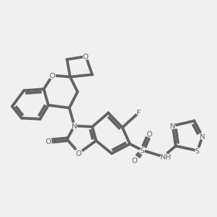 O=c1oc2cc(S(=O)(=O)Nc3ncns3)c(F)cc2n1C1CC2(COC2)Oc2ccccc21